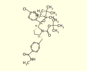 CNC(=O)c1ccc(C[C@@H]2CC[C@H]([C@H](O[Si](C)(C)C(C)(C)C)c3ccc(Cl)nc3)N2C(=O)OC(C)(C)C)cc1